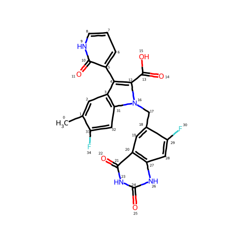 Cc1cc2c(-c3ccc[nH]c3=O)c(C(=O)O)n(Cc3cc4c(=O)[nH]c(=O)[nH]c4cc3F)c2cc1F